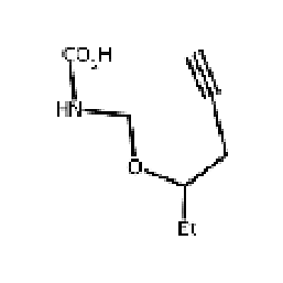 C#CCC(CC)OCNC(=O)O